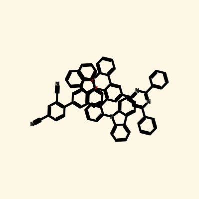 N#Cc1ccc(-c2ccc3c(c2)c2ccccc2n3-c2c(-c3ccccc3-n3c4ccccc4c4ccccc43)cc(-c3cc(-c4ccccc4)nc(-c4ccccc4)n3)cc2-c2ccccc2-n2c3ccccc3c3ccccc32)c(C#N)c1